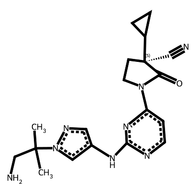 CC(C)(CN)n1cc(Nc2nccc(N3CC[C@@](C#N)(C4CC4)C3=O)n2)cn1